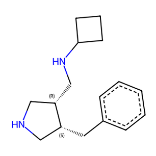 c1ccc(C[C@@H]2CNC[C@@H]2CNC2CCC2)cc1